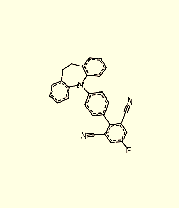 N#Cc1cc(F)cc(C#N)c1-c1ccc(N2c3ccccc3CCc3ccccc32)cc1